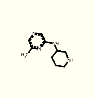 Cc1cncc(NC2CCCNC2)n1